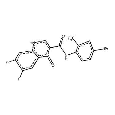 CC(C)c1ccc(NC(=O)c2c[nH]c3cc(F)c(F)cc3c2=O)c(C(F)(F)F)c1